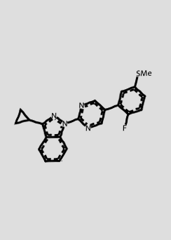 CSc1ccc(F)c(-c2cnc(-n3nc(C4CC4)c4cc[c]cc43)nc2)c1